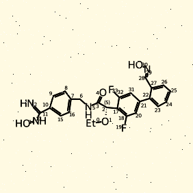 CCO[C@H](C(=O)NCc1ccc(C(=N)NO)cc1)c1c(F)cc(-c2ccccc2C=NO)cc1F